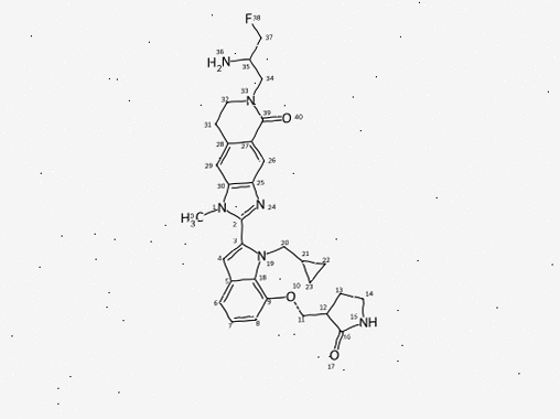 Cn1c(-c2cc3cccc(OCC4CCNC4=O)c3n2CC2CC2)nc2cc3c(cc21)CCN(CC(N)CF)C3=O